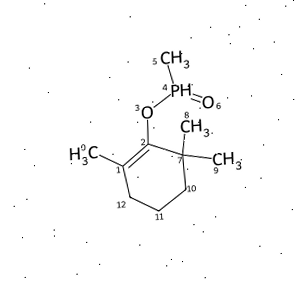 CC1=C(O[PH](C)=O)C(C)(C)CCC1